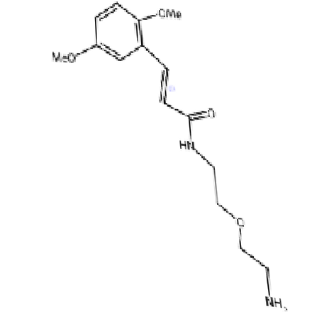 COc1ccc(OC)c(/C=C/C(=O)NCCOCCN)c1